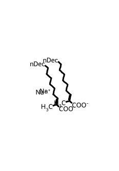 CCCCCCCCCCCCCCCCC=C(C)C(=O)[O-].CCCCCCCCCCCCCCCCC=C(C)C(=O)[O-].[Na+].[Na+]